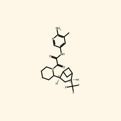 Cc1cc(NC(=O)C(=O)N2CCCCC2[C@@H]2C[C@H](C(F)(F)F)C3CC2C3)cnc1N